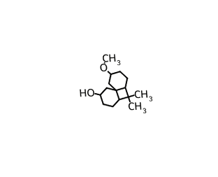 COC1CCC2C(C)(C)C3CCC(O)CC32C1